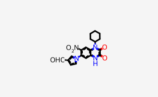 O=Cc1ccn(-c2cc3[nH]c(=O)c(=O)n(C4CCCCC4)c3cc2[N+](=O)[O-])c1